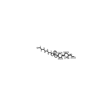 CCCCCCCCOC(=O)O[C@H]1CC[C@H]([C@H]2CC[C@H](CCC)CC2)CC1